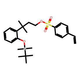 C=Cc1ccc(S(=O)(=O)OCCC(C)(C)c2ccccc2O[Si](C)(C)C(C)(C)C)cc1